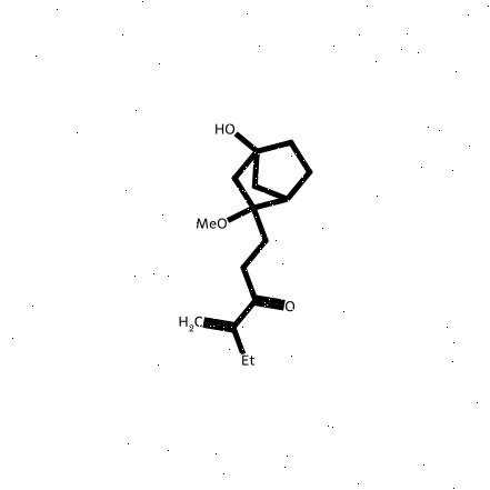 C=C(CC)C(=O)CCC1(OC)CC2(O)CCC1C2